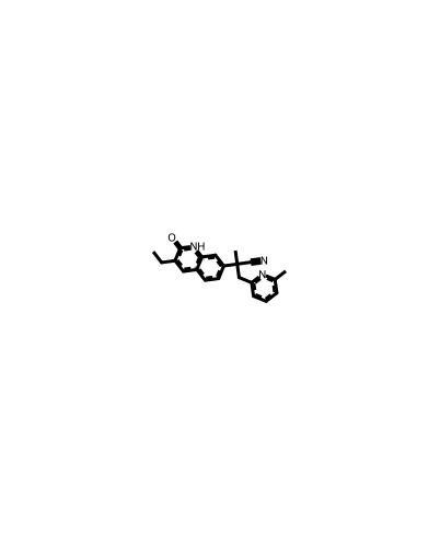 CCc1cc2ccc(C(C)(C#N)Cc3cccc(C)n3)cc2[nH]c1=O